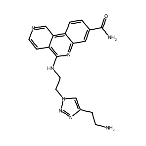 NCCc1cn(CCNc2nc3cc(C(N)=O)ccc3c3cnccc23)nn1